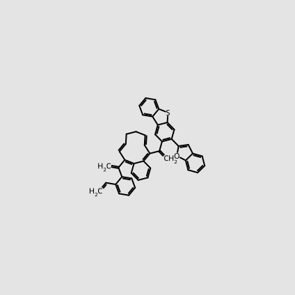 C=Cc1ccccc1C(=C)C1=c2\cccc\c2=C(C(=C)c2cc3c(cc2-c2cc4ccccc4o2)sc2ccccc23)\C=C\CC\C=C\1